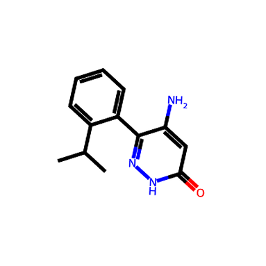 CC(C)c1ccccc1-c1n[nH]c(=O)cc1N